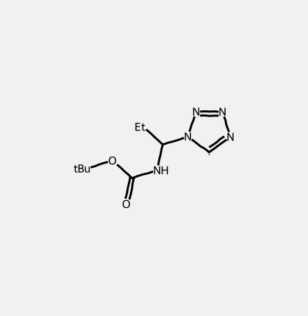 CCC(NC(=O)OC(C)(C)C)n1[c]nnn1